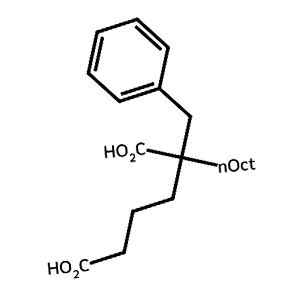 CCCCCCCCC(CCCC(=O)O)(Cc1ccccc1)C(=O)O